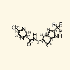 O=C(NCc1ccc2[nH]c(C(F)(F)F)cc2c1)c1cnc(Cl)cn1